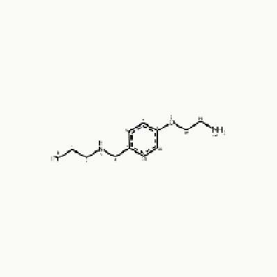 CC(C)CCNCc1ccc(OCCN)cc1